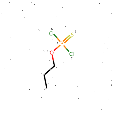 CCCOP(=S)(Cl)Cl